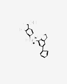 O=C(O)c1ccc(NS(=O)(=O)c2cc(-c3ccccc3)cc3c2OCC3)cc1O